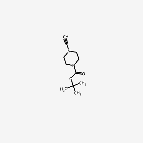 C#CN1CCN(C(=O)OC(C)(C)C)CC1